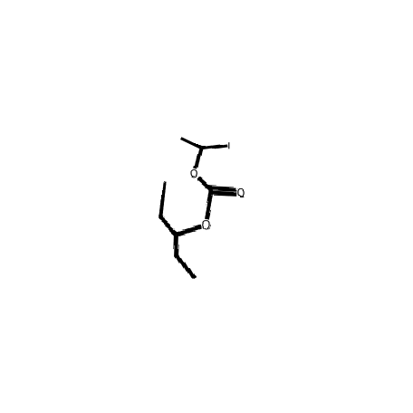 CCC(CC)OC(=O)OC(C)I